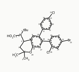 CC1(C)CC(N(C(=O)O)C(C)(C)C)c2cc(-c3ccc(Cl)cc3)c(-c3ccc(Br)cc3Cl)nc2O1